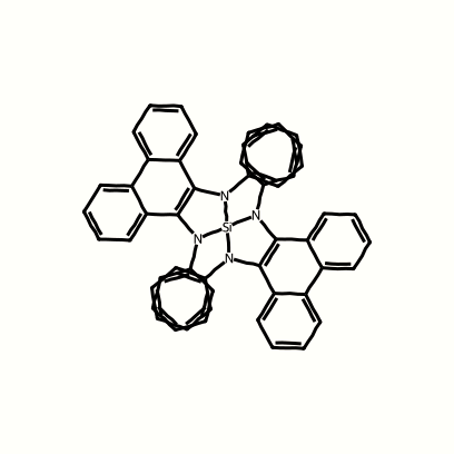 c1ccc(N2c3c(c4ccccc4c4ccccc34)N(c3ccccc3)[Si]23N(c2ccccc2)c2c(c4ccccc4c4ccccc24)N3c2ccccc2)cc1